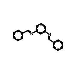 [c]1c(N=Cc2ccccc2)cccc1N=Cc1ccccc1